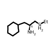 CC[SiH2]C[C@@H](N)CC1CCCCC1